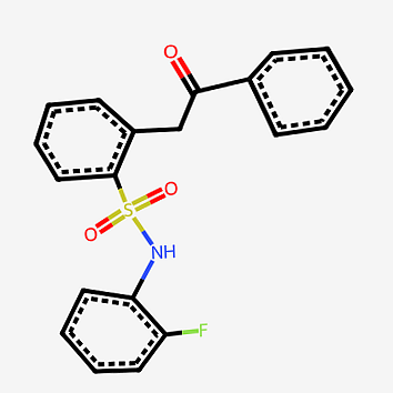 O=C(Cc1ccccc1S(=O)(=O)Nc1ccccc1F)c1ccccc1